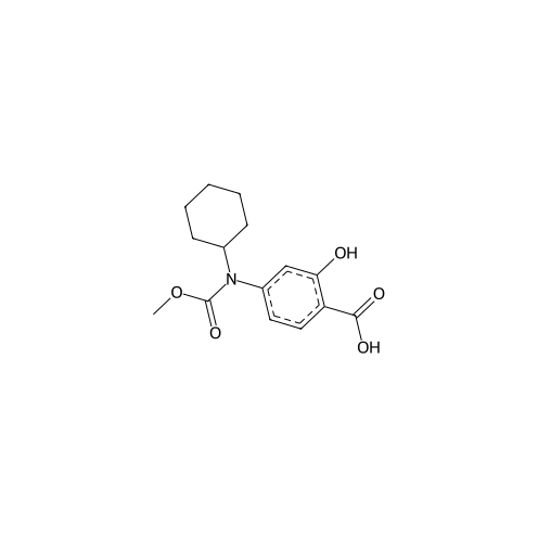 COC(=O)N(c1ccc(C(=O)O)c(O)c1)C1CCCCC1